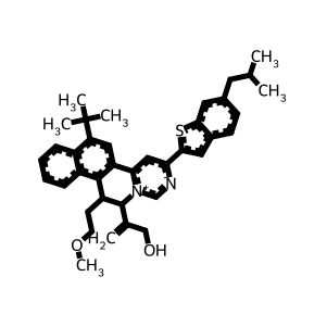 C=C(CO)C1C(CCOC)c2c(cc(C(C)(C)C)c3ccccc23)-c2cc(-c3cc4ccc(CC(C)C)cc4s3)nc[n+]21